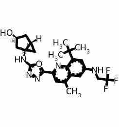 Cc1cc(-c2nnc(N[C@@]34C[C@@H](O)C[C@@H]3C4)o2)nc2c(C(C)(C)C)cc(NCC(F)(F)F)cc12